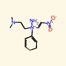 CN(C)CC[N+](N)(C=C[N+](=O)[O-])C1=CC[CH]C=C1